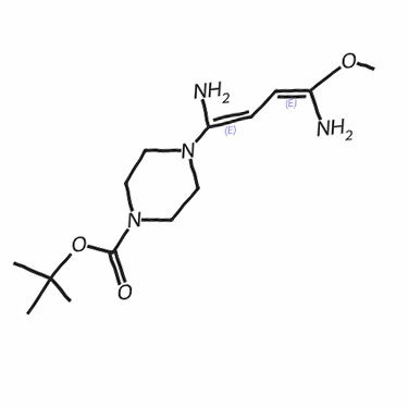 CO/C(N)=C/C=C(\N)N1CCN(C(=O)OC(C)(C)C)CC1